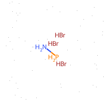 Br.Br.Br.NP